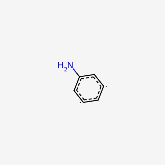 Nc1c[c]c[c]c1